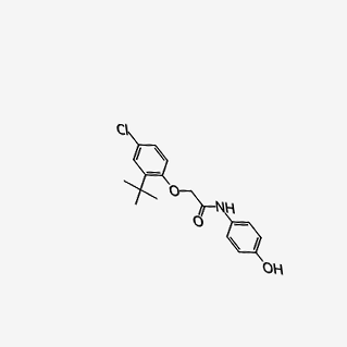 CC(C)(C)c1cc(Cl)ccc1OCC(=O)Nc1ccc(O)cc1